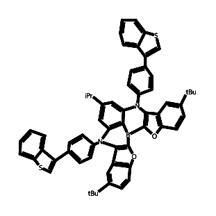 CC(C)c1cc2c3c(c1)N(c1ccc(-c4csc5ccccc45)cc1)c1c(oc4ccc(C(C)(C)C)cc14)B3c1oc3ccc(C(C)(C)C)cc3c1N2c1ccc(-c2csc3ccccc23)cc1